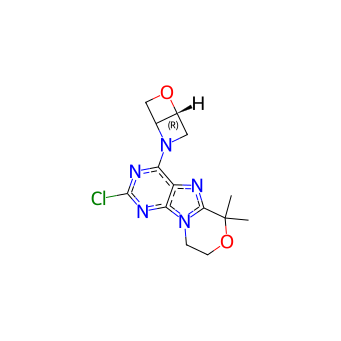 CC1(C)OCCn2c1nc1c(N3C[C@H]4OCC43)nc(Cl)nc12